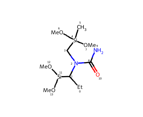 CCC(N(C[Si](C)(OC)OC)C(N)=O)[Si](OC)OC